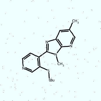 Cc1cnc2c(c1)nc(-c1ccncc1SC(C)(C)C)n2C